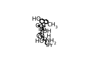 CC[C@H](C)C(=O)O[C@H]1C[C@H](O)C=C2C=C[C@H](C)[C@H](CC[C@@H](O)C[C@H](CC(=O)O)OC(=O)C[C@H](O)[C@@H](N)CC(C)C)[C@H]21